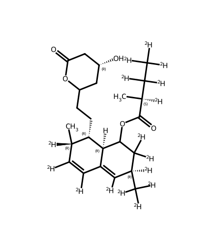 [2H]C1=C([2H])[C@]([2H])(C)[C@H](CCC2C[C@@H](O)CC(=O)O2)[C@@H]2C1=C([2H])[C@]([2H])(C([2H])([2H])[2H])C([2H])([2H])C2OC(=O)[C@@]([2H])(C)C([2H])([2H])C([2H])([2H])[2H]